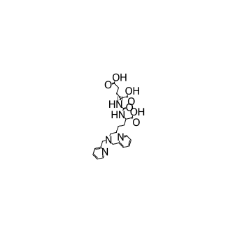 O=C(O)CC[C@H](NC(=O)NC(CCCCN(Cc1ccccn1)Cc1ccccn1)C(=O)O)C(=O)O